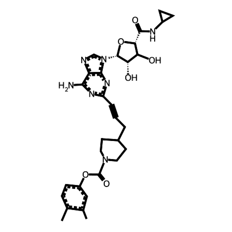 Cc1ccc(OC(=O)N2CCC(CC#Cc3nc(N)c4ncn([C@@H]5O[C@H](C(=O)NC6CC6)C(O)[C@@H]5O)c4n3)CC2)cc1C